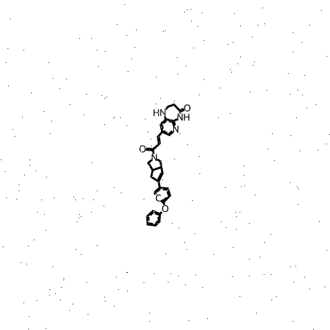 O=C1CCNc2cc(/C=C/C(=O)N3CC4C=C(c5ccc(Oc6ccccc6)cc5)CC4C3)cnc2N1